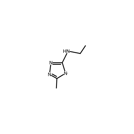 CCNC1=NN=C(C)[N]1